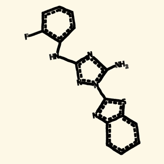 Nc1nc(Nc2ccccc2F)nn1-c1nc2ccccc2s1